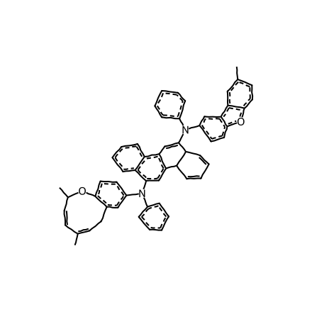 CC1=C/Cc2cc(N(c3ccccc3)c3cc4c(c5ccccc35)C=C(N(c3ccccc3)c3ccc5oc6ccc(C)cc6c5c3)C3C=CC=CC43)ccc2OC(C)/C=C\1